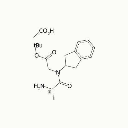 CC(=O)O.C[C@H](N)C(=O)N(CC(=O)OC(C)(C)C)C1Cc2ccccc2C1